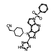 N#CC[C@H]1CC[C@H](n2c(-c3nn[nH]n3)nc3cnc4c(ccn4S(=O)(=O)c4ccccc4)c32)CC1